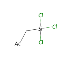 CC(=O)C[Si](Cl)(Cl)Cl